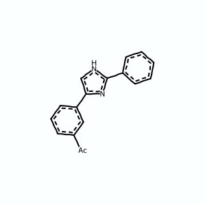 CC(=O)c1cccc(-c2c[nH]c(-c3ccccc3)n2)c1